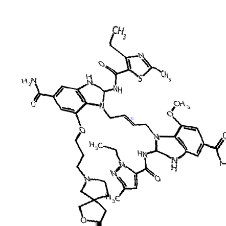 CCc1nc(C)sc1C(=O)NC1Nc2cc(C(N)=O)cc(OCCCN3CCC4(CCOC4)C3)c2N1C/C=C/CN1c2c(cc(C(N)=O)cc2OC)NC1NC(=O)c1cc(C)nn1CC